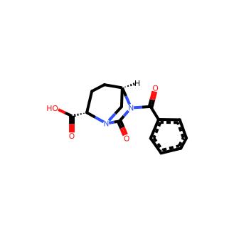 O=C(O)[C@@H]1CC[C@@H]2CN1C(=O)N2C(=O)c1ccccc1